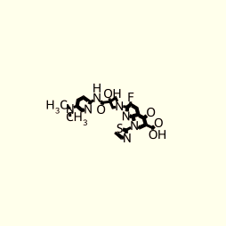 CN(C)c1ccc(NC(=O)C2(O)CN(c3nc4c(cc3F)c(=O)c(C(=O)O)cn4-c3nccs3)C2)nc1